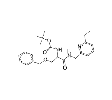 CCc1cccc(CNC(=O)C(COCc2ccccc2)NC(=O)OC(C)(C)C)n1